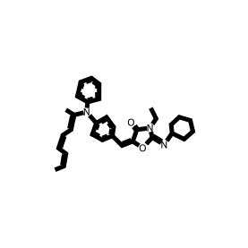 C\C=C/C=C\C=C(/C)N(c1ccccc1)c1ccc(/C=C2/O/C(=N/C3CCCCC3)N(CC)C2=O)cc1